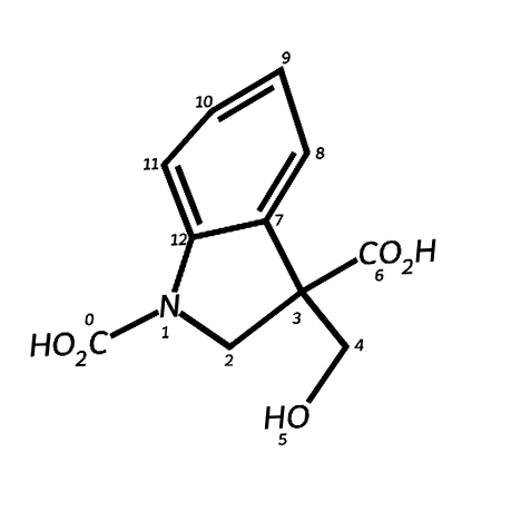 O=C(O)N1CC(CO)(C(=O)O)c2ccccc21